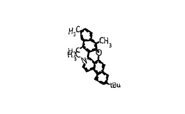 Cc1ccc2c(C)c3c(c(C)c2c1)-c1c2c(cc4cc(C(C)(C)C)ccc4c2cc[n+]1C)O3